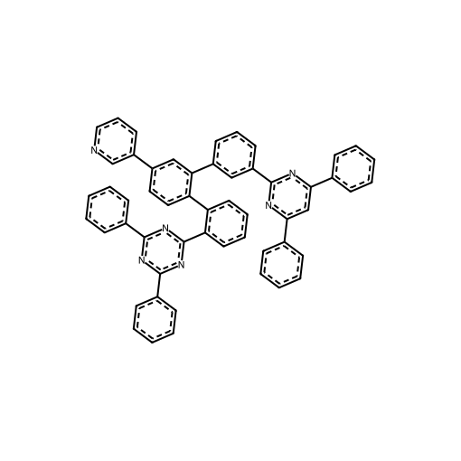 c1ccc(-c2cc(-c3ccccc3)nc(-c3cccc(-c4cc(-c5cccnc5)ccc4-c4ccccc4-c4nc(-c5ccccc5)nc(-c5ccccc5)n4)c3)n2)cc1